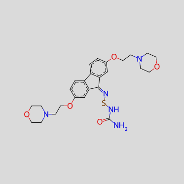 NC(=O)NSN=C1c2cc(OCCN3CCOCC3)ccc2-c2ccc(OCCN3CCOCC3)cc21